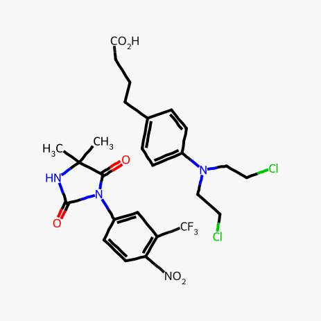 CC1(C)NC(=O)N(c2ccc([N+](=O)[O-])c(C(F)(F)F)c2)C1=O.O=C(O)CCCc1ccc(N(CCCl)CCCl)cc1